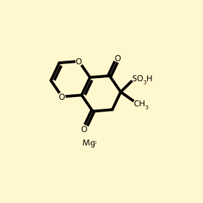 CC1(S(=O)(=O)O)CC(=O)C2=C(OC=CO2)C1=O.[Mg]